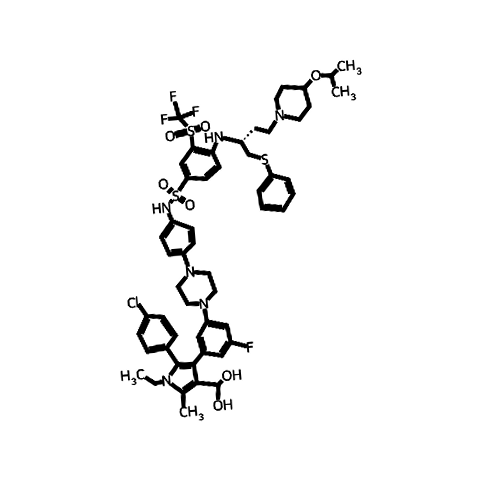 CCn1c(C)c(C(O)O)c(-c2cc(F)cc(N3CCN(c4ccc(NS(=O)(=O)c5ccc(N[C@H](CCN6CCC(OC(C)C)CC6)CSc6ccccc6)c(S(=O)(=O)C(F)(F)F)c5)cc4)CC3)c2)c1-c1ccc(Cl)cc1